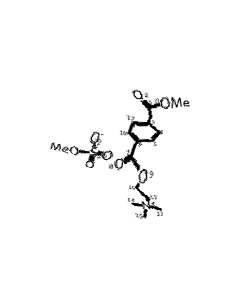 COC(=O)c1ccc(C(=O)OCC[N+](C)(C)C)cc1.COS(=O)(=O)[O-]